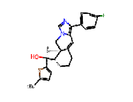 CC(C)(C)c1ccc([C@@](C)(O)[C@H]2CCCC3=Cc4c(-c5ccc(F)cc5)ncn4C[C@@]32C)s1